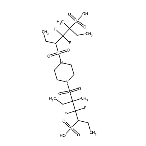 CCC(C(F)(F)C(C)(CC)S(=O)(=O)N1CCN(S(=O)(=O)C(CC)C(F)(F)C(C)(CC)S(=O)(=O)O)CC1)S(=O)(=O)O